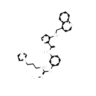 N#CN=C(NCCCn1ccnc1)Nc1cccc(NC(=O)c2sccc2NCc2ccnc3ccccc23)c1